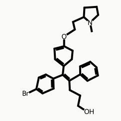 CN1CCCC1CCOC1=CC=C(/C(=C(/CCCO)c2ccccc2)c2ccc(Br)cc2)CC1